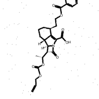 C=CCOC(=O)O[C@H](C)[C@H]1C(=O)N2C(C(=O)O)=C3[C@H](CCOC(=O)c4cccnc4)CCC[C@H]3[C@H]12